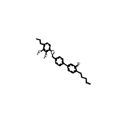 CCCCCc1ccc(-c2ccc(COc3ccc(CCC)c(F)c3F)cc2)cc1F